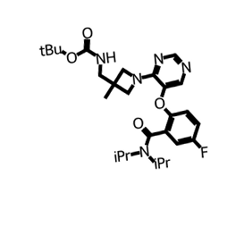 CC(C)N(C(=O)c1cc(F)ccc1Oc1cncnc1N1CC(C)(CNC(=O)OC(C)(C)C)C1)C(C)C